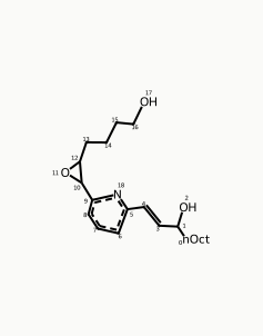 CCCCCCCCC(O)C=Cc1cccc(C2OC2CCCCO)n1